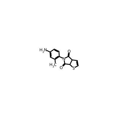 Cc1cc(N)ccc1N1C(=O)C2C=CSC2C1=O